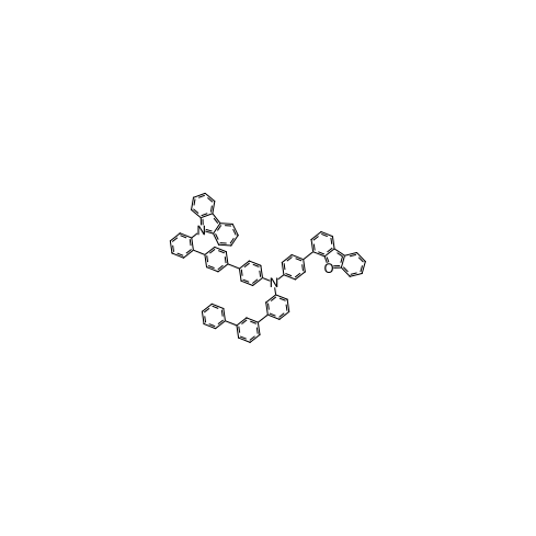 c1ccc(-c2cccc(-c3cccc(N(c4ccc(-c5ccc(-c6ccccc6-n6c7ccccc7c7ccccc76)cc5)cc4)c4ccc(-c5cccc6c5oc5ccccc56)cc4)c3)c2)cc1